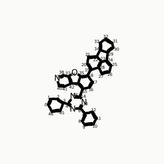 c1ccc(-c2nc(-c3ccccc3)nc(-c3ccc(-c4ccc5c6c(cccc46)-c4ccccc4-5)c4oc5cnccc5c34)n2)cc1